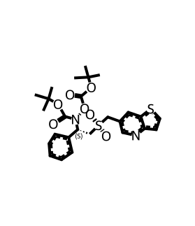 CC(C)(C)OC(=O)ON(C(=O)OC(C)(C)C)[C@H](CS(=O)(=O)Cc1cnc2ccsc2c1)c1ccccc1